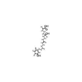 CC1=C(I)C(CCC(C)CC/C=C(\C)CCCC(C)(O)CCCC(C)C(=O)O)=CC(O)C1C